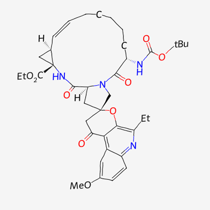 CCOC(=O)[C@@]12C[C@H]1/C=C\CCCCC[C@H](NC(=O)OC(C)(C)C)C(=O)N1C[C@@]3(CC(=O)c4c(c(CC)nc5ccc(OC)cc45)O3)C[C@H]1C(=O)N2